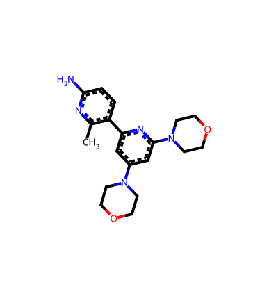 Cc1nc(N)ccc1-c1cc(N2CCOCC2)cc(N2CCOCC2)n1